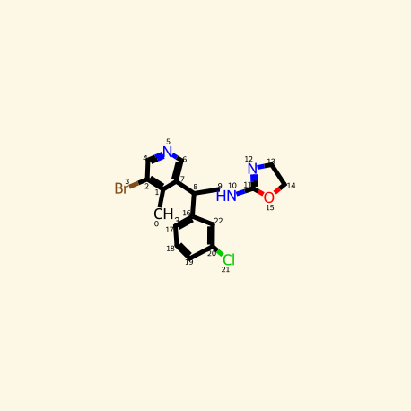 Cc1c(Br)cncc1C(CNC1=NCCO1)c1cccc(Cl)c1